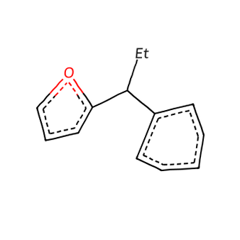 CCC(c1ccccc1)c1ccco1